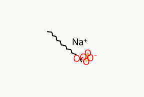 CCCCCCCCCCCCOC(C)OS(=O)(=O)[O-].[Na+]